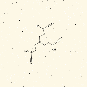 N#CC(O)CCP(CCC(O)C#N)CCC(O)C#N